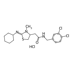 CN1C(=NC2CCCCC2)SCC1CC(=O)NCc1ccc(Cl)c(Cl)c1.Cl